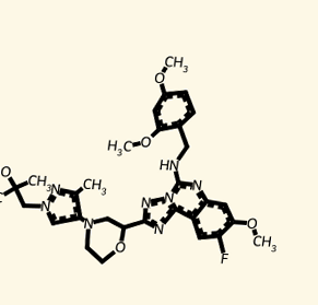 COc1ccc(CNc2nc3cc(OC)c(F)cc3c3nc(C4CN(c5cn(CC(C)(C)O)nc5C)CCO4)nn23)c(OC)c1